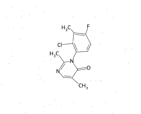 Cc1c(F)ccc(-n2c(C)ncc(C)c2=O)c1Cl